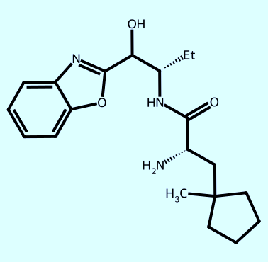 CC[C@H](NC(=O)[C@@H](N)CC1(C)CCCC1)C(O)c1nc2ccccc2o1